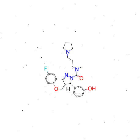 CN(CCCN1CCCC1)C(=O)N1N=C2c3cc(F)ccc3OC[C@@H]2[C@H]1c1cccc(O)c1